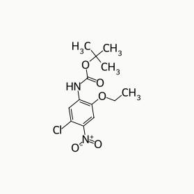 CCOc1cc([N+](=O)[O-])c(Cl)cc1NC(=O)OC(C)(C)C